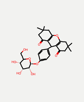 CC1(C)CC(=O)C2=C(C1)OC1=C(C(=O)CC(C)(C)C1)C2c1ccc(O[C@@H]2OC(CO)[C@@H](O)[C@@H](O)[C@H]2O)cc1